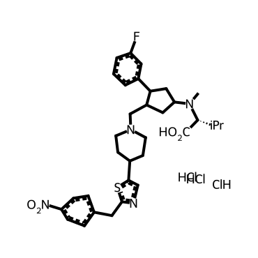 CC(C)[C@H](C(=O)O)N(C)C1CC(CN2CCC(c3cnc(Cc4ccc([N+](=O)[O-])cc4)s3)CC2)C(c2cccc(F)c2)C1.Cl.Cl.Cl